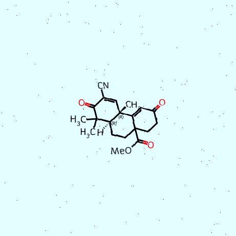 COC(=O)C12CCC(=O)C=C1[C@@]1(C)C=C(C#N)C(=O)C(C)(C)[C@@H]1CC2